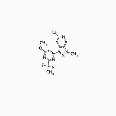 COc1cc(-c2nn(C)c3cnc(Cl)cc23)nc(C(C)(F)F)n1